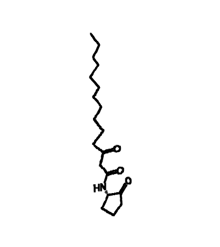 CCCCCCCCCCCC(=O)CC(=O)N[C@H]1CCCC1=O